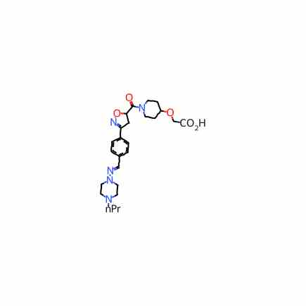 CCCN1CCN(N=Cc2ccc(C3=NOC(C(=O)N4CCC(OCC(=O)O)CC4)C3)cc2)CC1